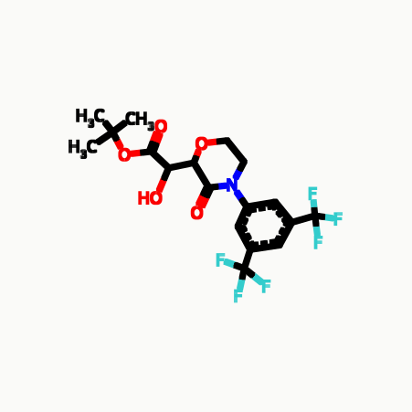 CC(C)(C)OC(=O)C(O)C1OCCN(c2cc(C(F)(F)F)cc(C(F)(F)F)c2)C1=O